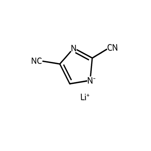 N#Cc1c[n-]c(C#N)n1.[Li+]